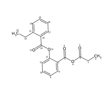 CCC(=O)OC(=O)c1ccccc1OC(=O)c1ccccc1CC